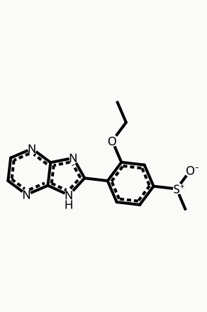 CCOc1cc([S+](C)[O-])ccc1-c1nc2nccnc2[nH]1